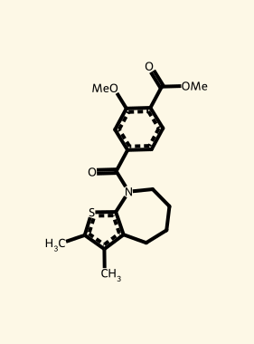 COC(=O)c1ccc(C(=O)N2CCCCc3c2sc(C)c3C)cc1OC